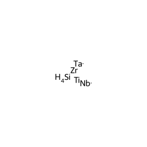 [Nb].[SiH4].[Ta].[Ti].[Zr]